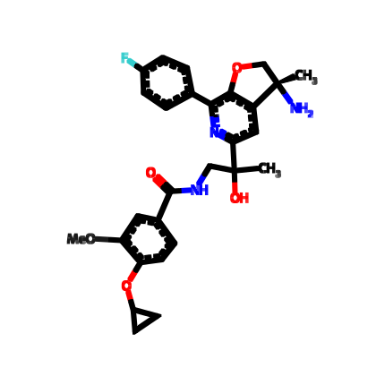 COc1cc(C(=O)NCC(C)(O)c2cc3c(c(-c4ccc(F)cc4)n2)OC[C@]3(C)N)ccc1OC1CC1